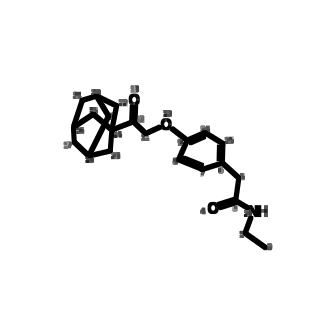 CCNC(=O)Cc1ccc(OCC(=O)C23CC4CC(CC(C4)C2)C3)cc1